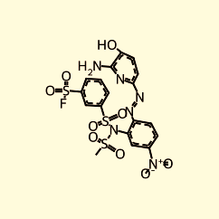 CS(=O)(=O)N(c1cc([N+](=O)[O-])ccc1N=Nc1ccc(O)c(N)n1)S(=O)(=O)c1cccc(S(=O)(=O)F)c1